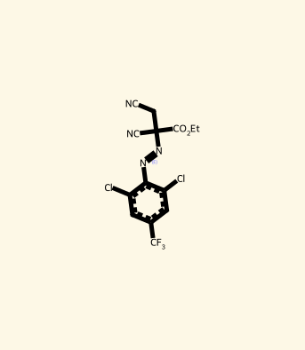 CCOC(=O)C(C#N)(CC#N)/N=N/c1c(Cl)cc(C(F)(F)F)cc1Cl